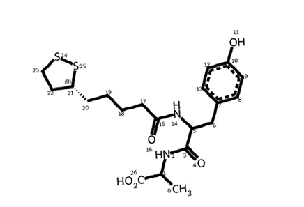 CC(NC(=O)C(Cc1ccc(O)cc1)NC(=O)CCCC[C@@H]1CCSS1)C(=O)O